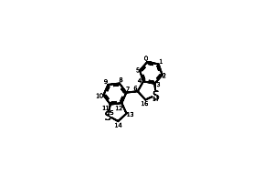 [c]1ccc2c(c1)C(c1cccc3c1CCS3)CS2